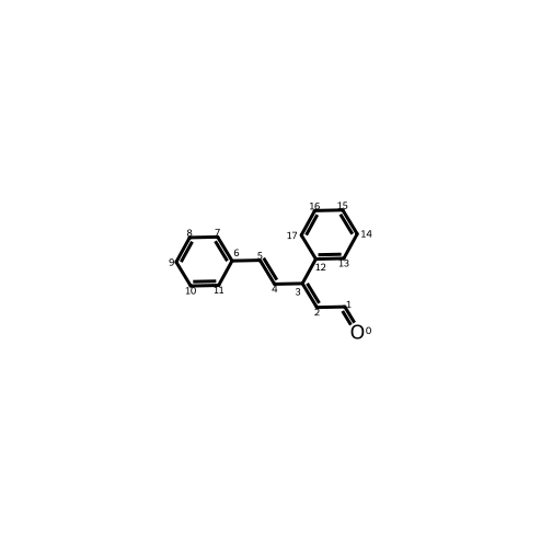 O=C/C=C(/C=C/c1ccccc1)c1ccccc1